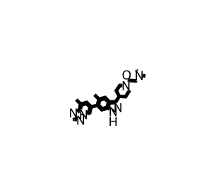 Cc1cc2c(C3CCN(C(=O)CN(C)C)CC3)n[nH]c2cc1-c1cc(C)c2ncnn2c1